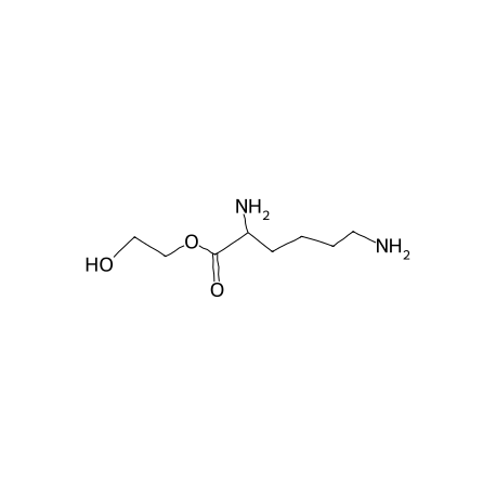 NCCCCC(N)C(=O)OCCO